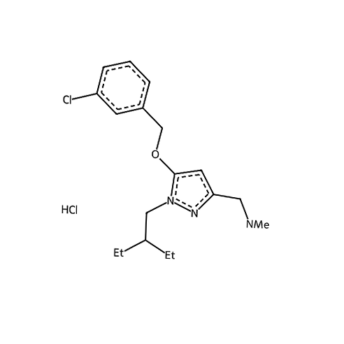 CCC(CC)Cn1nc(CNC)cc1OCc1cccc(Cl)c1.Cl